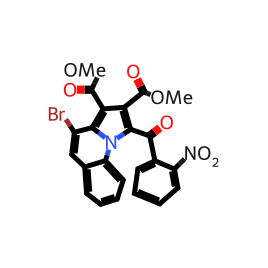 COC(=O)c1c(C(=O)OC)c2c(Br)cc3ccccc3n2c1C(=O)c1ccccc1[N+](=O)[O-]